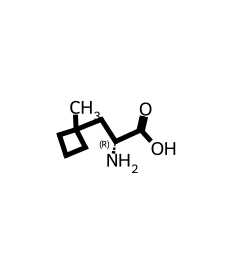 CC1(C[C@@H](N)C(=O)O)CCC1